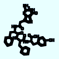 Nc1nc2c(ncn2CC(=O)NC(Cc2ccccc2)C(=O)NC(Cc2ccccc2)C(=O)NC(Cc2ccc(O)cc2)C(=O)O)c(=O)[nH]1